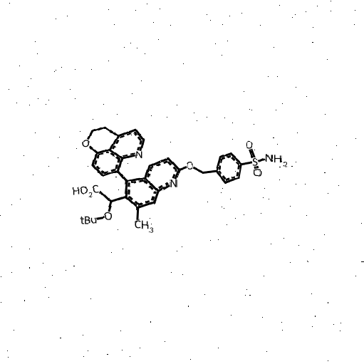 Cc1cc2nc(OCc3ccc(S(N)(=O)=O)cc3)ccc2c(-c2ccc3c4c(ccnc24)CCO3)c1C(OC(C)(C)C)C(=O)O